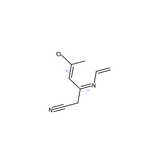 C=C/N=C(\C=C(/C)Cl)CC#N